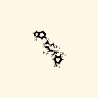 CCn1c(Oc2ccc3c(c2)NCC3)nnc1[C@@H](C)NS(=O)(=O)c1cc(C)ccc1C